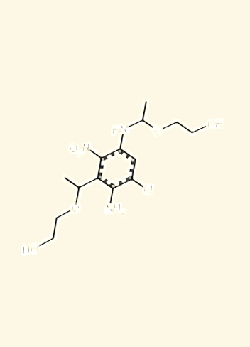 CC(Nc1cc(Cl)c(N)c(C(C)OCCO)c1[N+](=O)[O-])OCCO